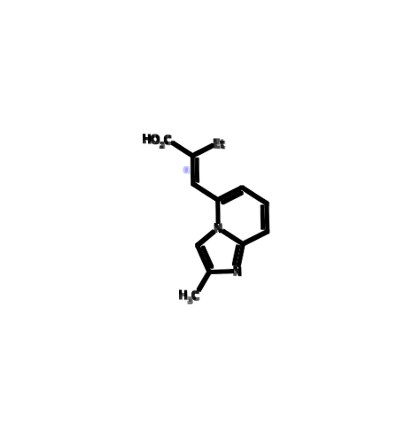 CC/C(=C\c1cccc2nc(C)cn12)C(=O)O